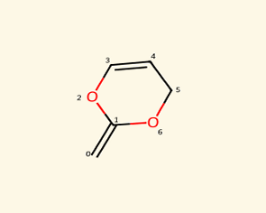 C=C1OC=CCO1